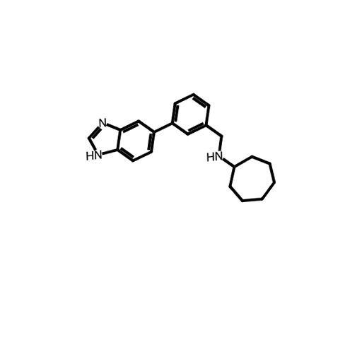 c1cc(CNC2CCCCCC2)cc(-c2ccc3[nH]cnc3c2)c1